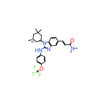 C[C@@H]1C[C@H](n2c(Nc3ccc(OC(F)(F)F)cc3)nc3cc(C=CC(=O)N(C)C)ccc32)CC(C)(C)C1